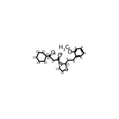 COc1ccccc1CCC1SCCN1C(=O)CC(=O)C1CCCCC1